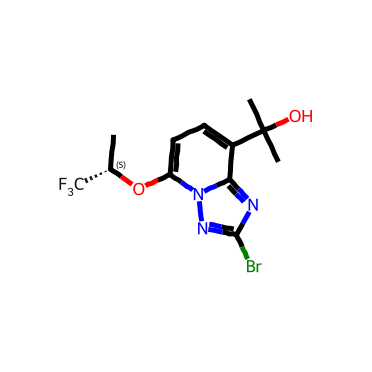 C[C@H](Oc1ccc(C(C)(C)O)c2nc(Br)nn12)C(F)(F)F